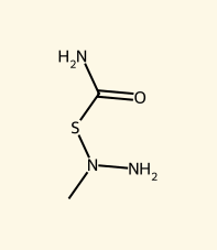 CN(N)SC(N)=O